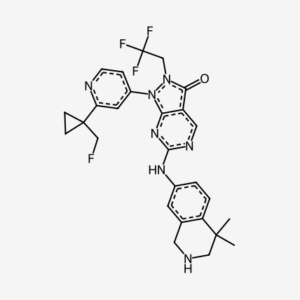 CC1(C)CNCc2cc(Nc3ncc4c(=O)n(CC(F)(F)F)n(-c5ccnc(C6(CF)CC6)c5)c4n3)ccc21